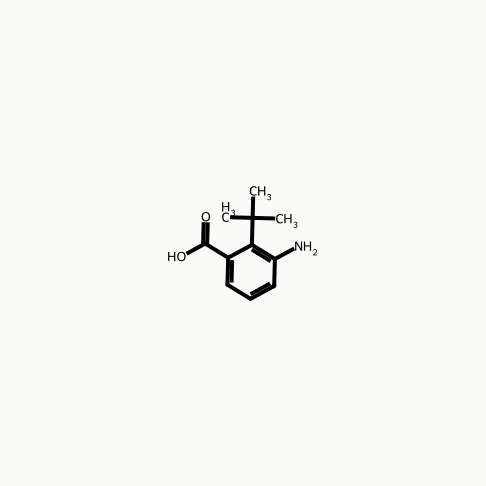 CC(C)(C)c1c(N)cccc1C(=O)O